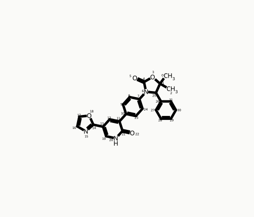 CC1(C)OC(=O)N(c2ccc(-c3cc(-c4ncco4)c[nH]c3=O)cc2)C1c1ccccc1